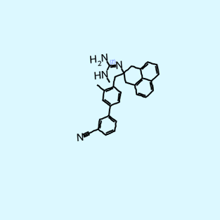 CN/C(N)=N\C1(Cc2ccc(-c3cccc(C#N)c3)cc2C)Cc2cccc3cccc(c23)C1